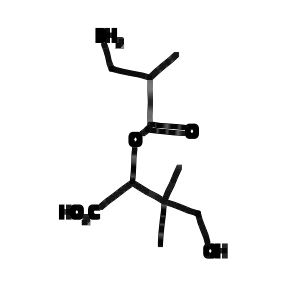 BCC(C)C(=O)OC(C(=O)O)C(C)(C)CO